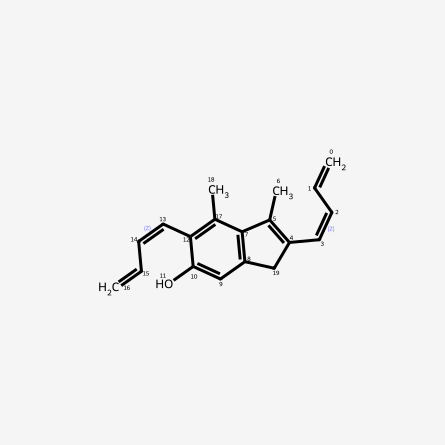 C=C/C=C\C1=C(C)c2c(cc(O)c(/C=C\C=C)c2C)C1